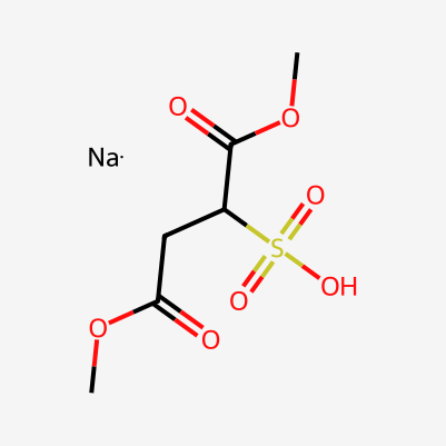 COC(=O)CC(C(=O)OC)S(=O)(=O)O.[Na]